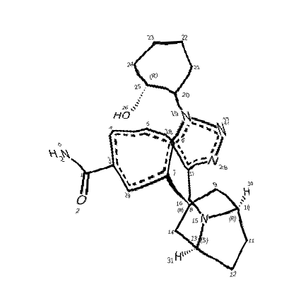 NC(=O)c1cccc([C@H]2C[C@H]3CC[C@@H](C2)N3Cc2cn(C3CCCC[C@H]3O)nn2)c1